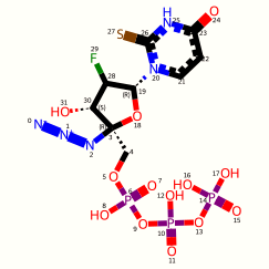 [N-]=[N+]=N[C@]1(COP(=O)(O)OP(=O)(O)OP(=O)(O)O)O[C@@H](n2ccc(=O)[nH]c2=S)C(F)[C@H]1O